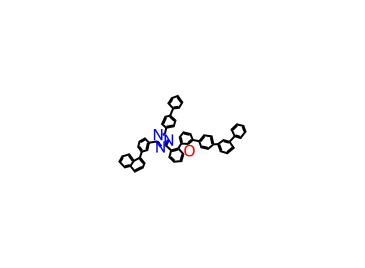 c1ccc(-c2ccc(-c3nc(-c4cccc(-c5cccc6ccccc56)c4)nc(-c4cccc5oc6c(-c7ccc(-c8cccc(-c9ccccc9)c8)cc7)cccc6c45)n3)cc2)cc1